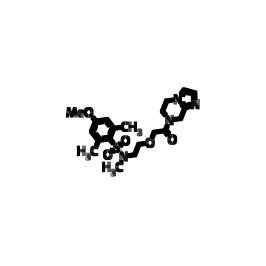 COc1cc(C)c(S(=O)(=O)N(C)CCOCC(=O)N2CCn3ccnc3C2)c(C)c1